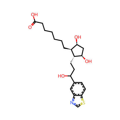 O=C(O)CCCCCC[C@@H]1[C@@H](CCC(O)c2ccc3scnc3c2)[C@H](O)C[C@@H]1O